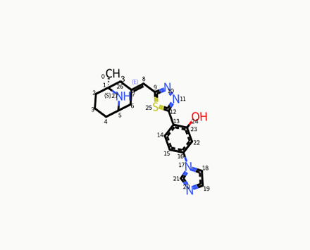 C[C@]12CCCC(C/C(=C\c3nnc(-c4ccc(-n5ccnc5)cc4O)s3)C1)N2